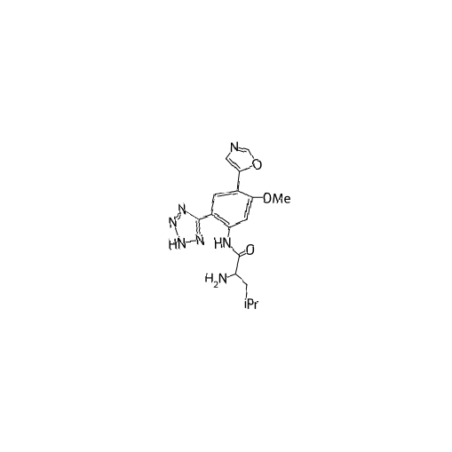 COc1cc(NC(=O)C(N)CC(C)C)c(-c2nn[nH]n2)cc1-c1cnco1